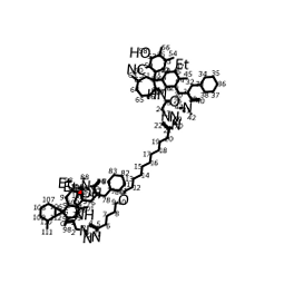 C=C(Cn1cc(CCCCOCCCCCCCCCCc2cn(CC(=O)NC3C(CC(CC4CCCCC4)C(=C)N(C)C)C(C)C(CC)CC3C3(C4CC(C)C(C)C(O)C4C#N)CC(C)CCCC3C)nn2)nn1)NC1C(CC(CC2CCCCC2)C(=C)N(C)C)C(C)C(CC)CC1C1(C(C)CC(C)CC(O)CC)C2CCCC(C)C21